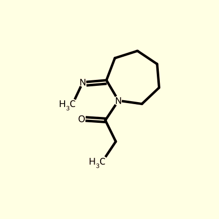 CCC(=O)N1CCCCC/C1=N/C